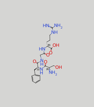 N=C(N)NCCC[C@@H](NC(=O)CNC(=O)[C@H](Cc1ccccc1)NC(=O)[C@H](N)CO)C(=O)O